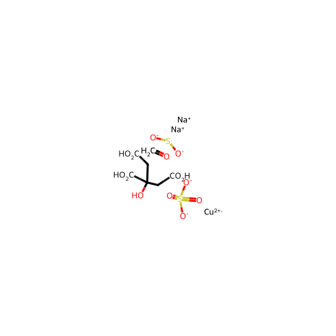 C=O.O=C(O)CC(O)(CC(=O)O)C(=O)O.O=S(=O)([O-])[O-].[Cu+2].[Na+].[Na+].[O-]S[O-]